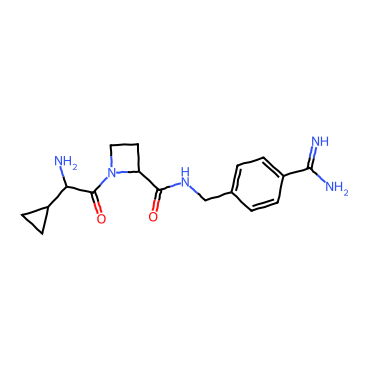 N=C(N)c1ccc(CNC(=O)C2CCN2C(=O)C(N)C2CC2)cc1